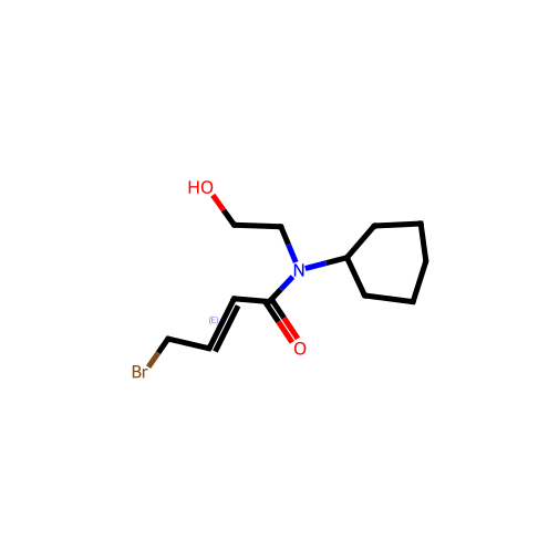 O=C(/C=C/CBr)N(CCO)C1CCCCC1